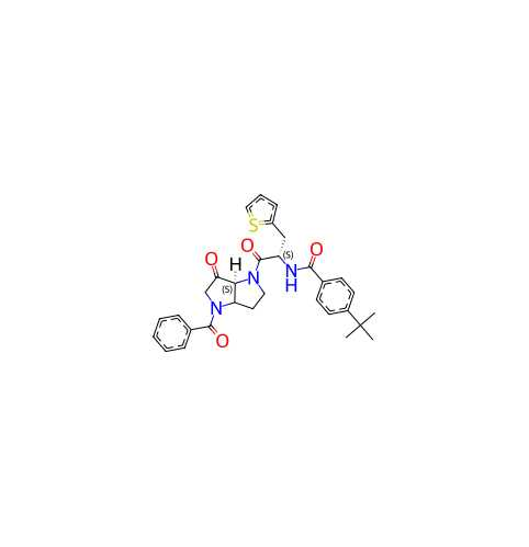 CC(C)(C)c1ccc(C(=O)N[C@@H](Cc2cccs2)C(=O)N2CCC3[C@H]2C(=O)CN3C(=O)c2ccccc2)cc1